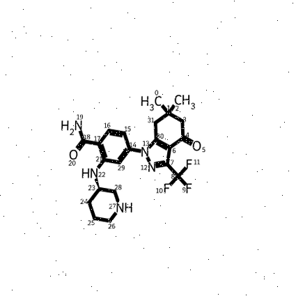 CC1(C)CC(=O)c2c(C(F)(F)F)nn(-c3ccc(C(N)=O)c(N[C@@H]4CCCNC4)c3)c2C1